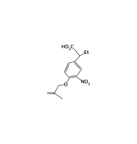 C=C(C)COc1ccc(C(CC)C(=O)O)cc1[N+](=O)[O-]